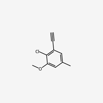 C#Cc1cc(C)cc(OC)c1Cl